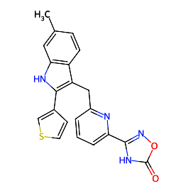 Cc1ccc2c(Cc3cccc(-c4noc(=O)[nH]4)n3)c(-c3ccsc3)[nH]c2c1